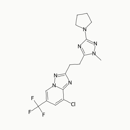 Cn1nc(N2CCCC2)nc1CCc1nc2c(Cl)cc(C(F)(F)F)cn2n1